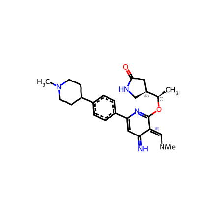 CN/C=C1\C(=N)C=C(c2ccc(C3CCN(C)CC3)cc2)N=C1O[C@H](C)[C@H]1CNC(=O)C1